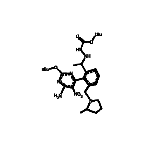 CCCCOc1nc(N)c([N+](=O)[O-])c(-c2c(CN3CCCC3C)cccc2C(C)NNC(=O)OC(C)(C)C)n1